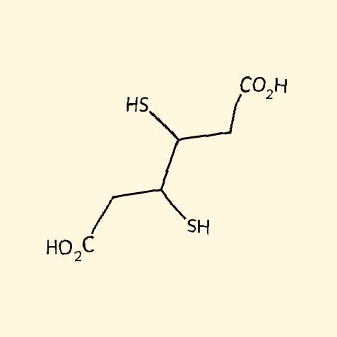 O=C(O)CC(S)C(S)CC(=O)O